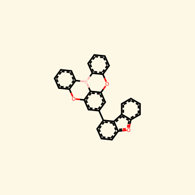 c1ccc2c(c1)Oc1cc(-c3cccc4oc5ccccc5c34)cc3c1B2c1ccccc1O3